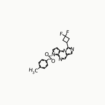 Cc1ccc(S(=O)(=O)n2ccc3c2ncc2cnc(C4CC(F)(F)C4)n23)cc1